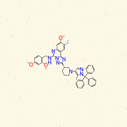 COc1ccc(CNc2nc3cc(OC)c(F)cc3c3nc([C@@H]4CCCN(c5cnn(C(c6ccccc6)(c6ccccc6)c6ccccc6)c5C)C4)nn23)c(OC)c1